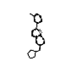 Cc1cccc(-c2ccc3cc(CC4CCCC4)ccc3n2)c1